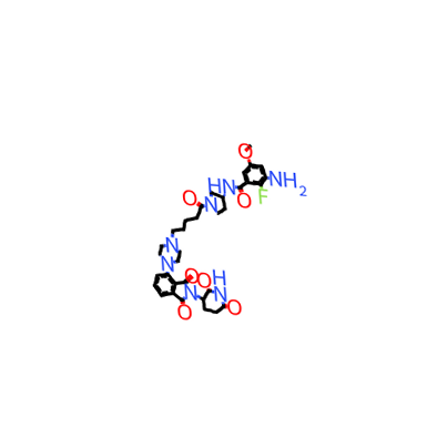 COc1cc(N)c(F)c(C(=O)N[C@H]2CCN(C(=O)CCCCN3CCN(c4cccc5c4C(=O)N(C4CCC(=O)NC4=O)C5=O)CC3)C2)c1